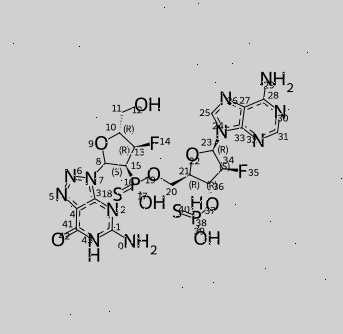 Nc1nc2c(nnn2C2O[C@H](CO)[C@@H](F)[C@H]2P(O)(=S)OC[C@H]2O[C@@H](n3cnc4c(N)ncnc43)[C@@H](F)[C@@H]2O[PH](O)=S)c(=O)[nH]1